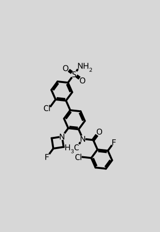 CN(C(=O)c1c(F)cccc1Cl)c1ccc(-c2cc(S(N)(=O)=O)ccc2Cl)cc1N1CC(F)C1